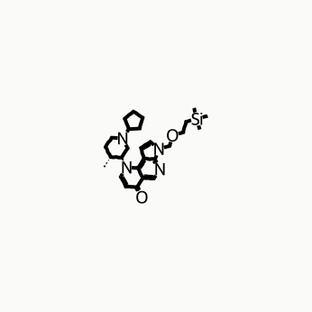 C[C@@H]1CCN(C2CCCC2)C[C@@H]1n1ccc(=O)c2cnc3c(ccn3COCC[Si](C)(C)C)c21